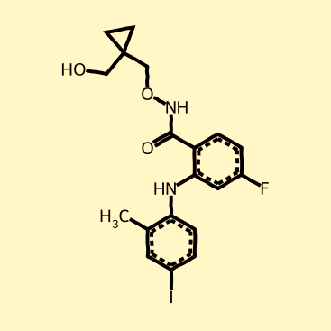 Cc1cc(I)ccc1Nc1cc(F)ccc1C(=O)NOCC1(CO)CC1